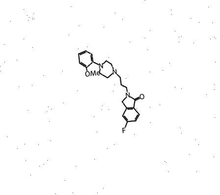 COc1ccccc1N1CCN(CCCN2Cc3cc(F)ccc3C2=O)CC1